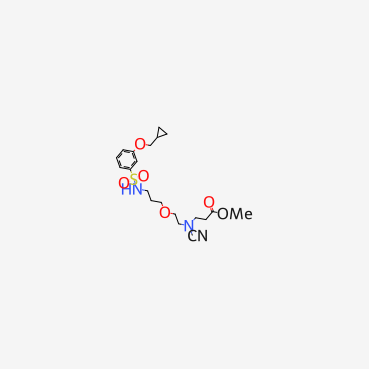 COC(=O)CCN(C#N)CCOCCCNS(=O)(=O)c1cccc(OCC2CC2)c1